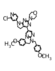 COc1ccc(CN(Cc2ccc(OC)cc2)c2ncc(-c3nc(N4CCOCC4)nc4c3CCN4c3ccnc(Cl)c3)cn2)cc1